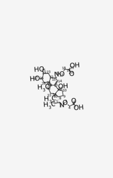 C/C(=N/OCC(=O)O)[C@H]1CC[C@@]2(O)C3=C/C(=N\OCC(=O)O)C4CC(O)C(O)CC4(C)C3CCC12C